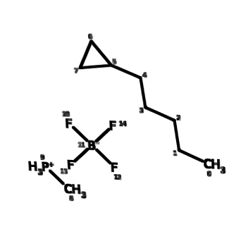 CCCCCC1CC1.C[PH3+].F[B-](F)(F)F